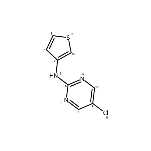 Clc1cnc(Nc2ccsc2)nc1